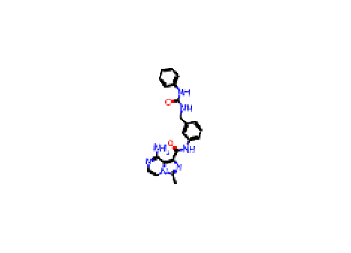 Cc1nc(C(=O)Nc2cccc(CNC(=O)Nc3ccccc3)c2)c2c(N)nccn12